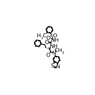 Cc1ccccc1S(=O)(=O)NC(=O)N[C@@H](CCc1ccccc1)C(=O)N(C)c1ccc2ncsc2c1